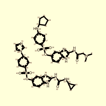 CN(C)CC(=O)Nc1nc2cc(OS(=O)(=O)c3ccc(NC4CCCC4)cc3)ccc2[nH]1.O=C(Nc1nc2cc(OS(=O)(=O)c3ccc(-n4ccnc4)cc3)ccc2[nH]1)NC1CC1